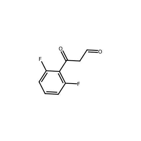 O=CCC(=O)c1c(F)cccc1F